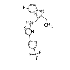 CCc1nc2ccc(I)cn2c1CNc1nc(-c2ccc(C(F)(F)F)cc2)cs1